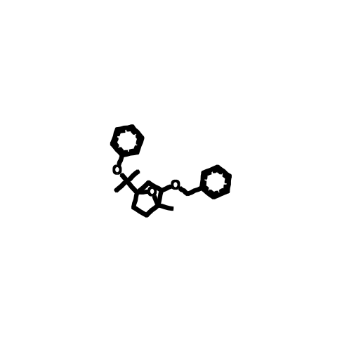 CC12CCC(C(C)(C)Oc3ccccc3)(CC1OCc1ccccc1)O2